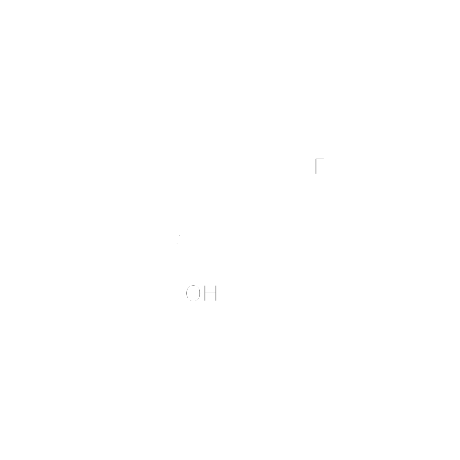 C=C/C(F)=C\C(=C)O